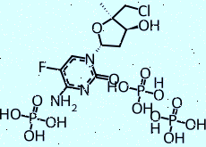 C[C@@]1(CCl)O[C@@H](n2cc(F)c(N)nc2=O)C[C@@H]1O.O=P(O)(O)O.O=P(O)(O)O.O=P(O)(O)O